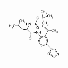 CC(=O)c1cc(-c2cnco2)ccc1NC(=O)C(CC(C)C)NC(=O)OC(C)(C)C